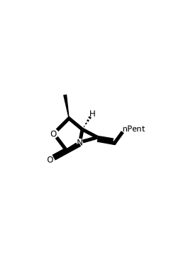 CCCCC/C=C1\[C@@H]2[C@H](C)OC(=O)N12